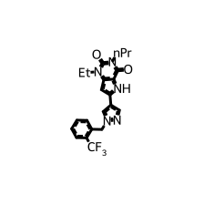 CCCn1c(=O)c2[nH]c(-c3cnn(Cc4ccccc4C(F)(F)F)c3)cc2n(CC)c1=O